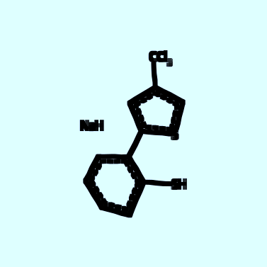 Sc1ccccc1-c1cc(C(Cl)(Cl)Cl)cs1.[NaH]